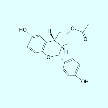 CC(=O)O[C@@H]1C[C@H]2[C@@H](C1)c1cc(O)ccc1O[C@H]2c1ccc(O)cc1